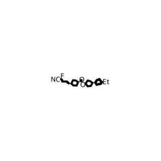 CCc1ccc([C@H]2CC[C@H](OC(=O)[C@H]3CC[C@H](C=CC=C(F)C#N)CC3)CC2)cc1